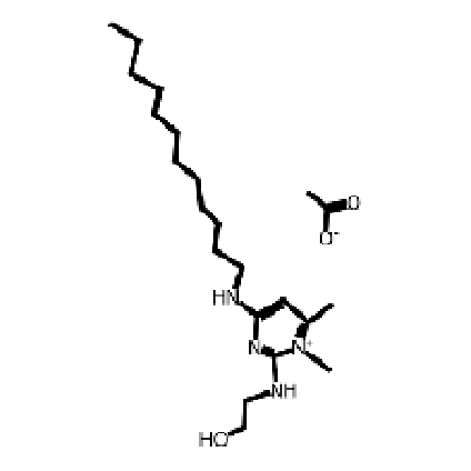 CC(=O)[O-].CCCCCCCCCCCCNc1cc(C)[n+](C)c(NCCO)n1